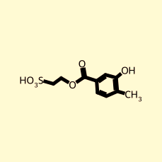 Cc1ccc(C(=O)OCCS(=O)(=O)O)cc1O